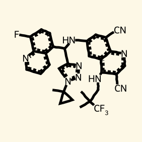 CC1(n2cc(C(Nc3cc(C#N)c4ncc(C#N)c(NCC(C)(C)C(F)(F)F)c4c3)c3ccc(F)c4ncccc34)nn2)CC1